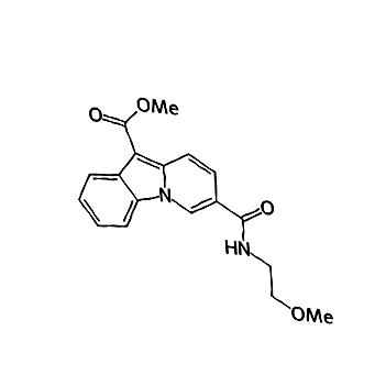 COCCNC(=O)c1ccc2c(C(=O)OC)c3ccccc3n2c1